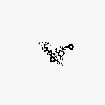 CSc1cccc2c1nc(N[C@@H]1CN(C(=O)OCc3ccccc3)CCNC1=O)n1nc(-c3cnn(C(C)C)c3)nc21